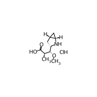 CO[C@@H]([C@@H]1C[C@@H]2C[C@@H]2N1)[C@@H](C)C(=O)O.Cl